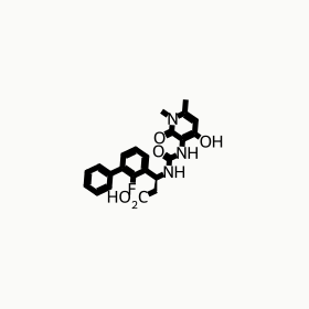 Cc1cc(O)c(NC(=O)N[C@@H](CC(=O)O)c2cccc(-c3ccccc3)c2F)c(=O)n1C